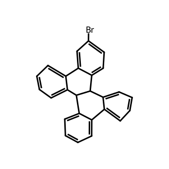 Brc1ccc2c(c1)-c1ccccc1C1c3ccccc3-c3ccccc3C21